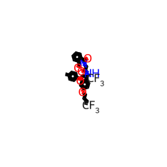 Cc1ccc(C(=O)CC(NC(=O)CN2C(=O)c3ccccc3C2=O)(c2ccc(OCCCC(F)(F)F)cc2)C(F)(F)F)cc1